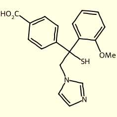 COc1ccccc1C(S)(Cn1ccnc1)c1ccc(C(=O)O)cc1